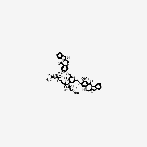 COc1cc2c(cc1OCc1cc(N(C(C)(C)CCOC(C)(N)CC(C)(C)S)C(C)(C)COC(C)(C)C)cc(COc3cc4c(cc3OC)C(=O)N3c5ccccc5C[C@H]3CN4)n1)N=C[C@@H]1Cc3ccccc3N1C2=O